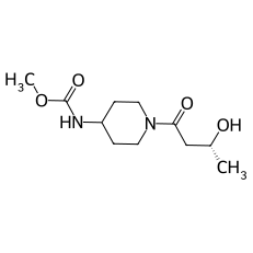 COC(=O)NC1CCN(C(=O)C[C@@H](C)O)CC1